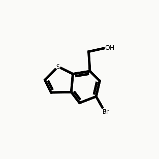 OCc1cc(Br)cc2ccsc12